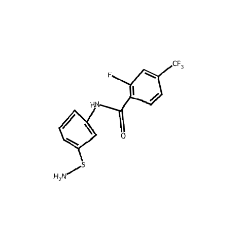 NSc1cccc(NC(=O)c2ccc(C(F)(F)F)cc2F)c1